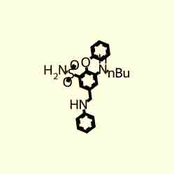 CCCCNc1cc(CNc2ccccc2)cc(S(N)(=O)=O)c1Oc1ccccc1